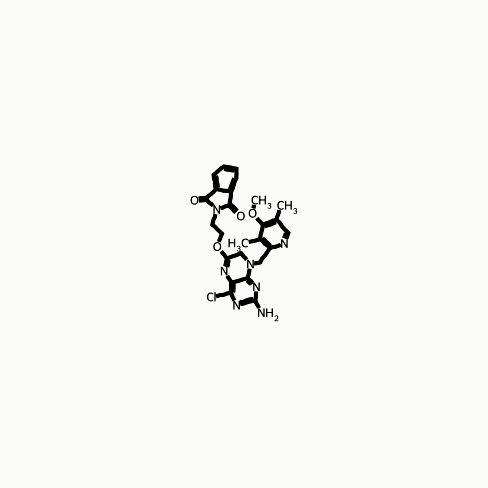 COc1c(C)cnc(CN2CC(OCCN3C(=O)c4ccccc4C3=O)=Nc3c(Cl)nc(N)nc32)c1C